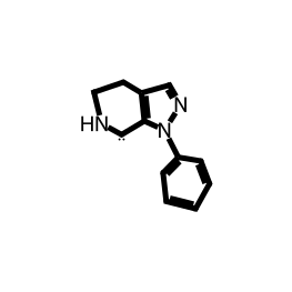 [C]1NCCc2cnn(-c3ccccc3)c21